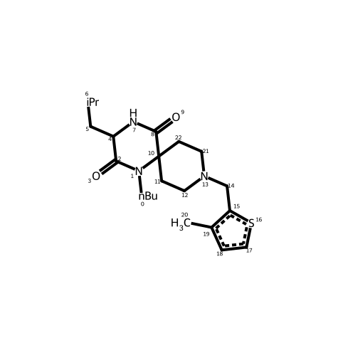 CCCCN1C(=O)C(CC(C)C)NC(=O)C12CCN(Cc1sccc1C)CC2